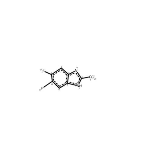 Fc1cc2nc(C(Cl)(Cl)Cl)[nH]c2cc1F